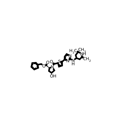 C=C1CC(Nc2nccc(-c3ccc(C(=O)N4C[C@H](O)C[C@H]4C(=O)OCc4ccccc4)s3)n2)CC(C)(C)N1